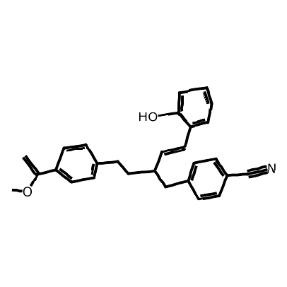 C=C(OC)c1ccc(CCC(/C=C/c2ccccc2O)Cc2ccc(C#N)cc2)cc1